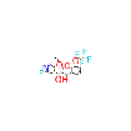 CCOC(=O)C(Cc1cccc(OC(F)(F)C(F)F)c1)C(O)c1ccnc(F)c1